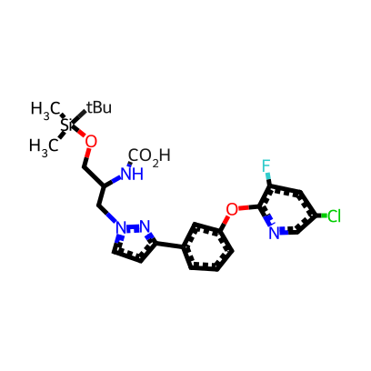 CC(C)(C)[Si](C)(C)OCC(Cn1ccc(-c2cccc(Oc3ncc(Cl)cc3F)c2)n1)NC(=O)O